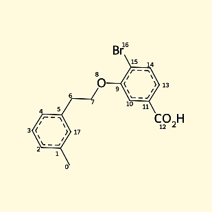 Cc1cccc(CCOc2cc(C(=O)O)ccc2Br)c1